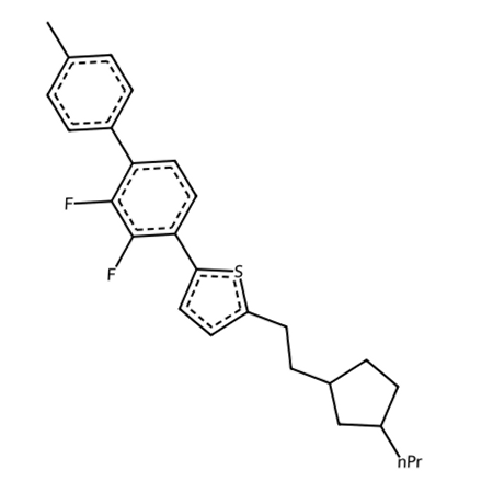 CCCC1CCC(CCc2ccc(-c3ccc(-c4ccc(C)cc4)c(F)c3F)s2)C1